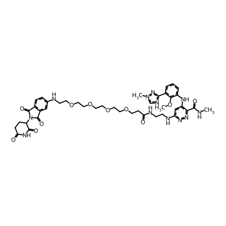 CNC(=O)c1nnc(NCCNC(=O)CCOCCOCCOCCOCCNc2ccc3c(c2)C(=O)N(C2CCC(=O)NC2=O)C3=O)cc1Nc1cccc(-c2ncn(C)n2)c1OC